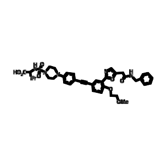 COCCOc1ccc(C#Cc2ccc(N3CCN(S(=O)(=O)NC(C(=O)O)C(C)C)CC3)cc2)cc1-c1ncc(CC(=O)NCc2ccccc2)o1